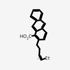 CC/C=C\CCc1ccc2cc3ccccc3cc2c1C(=O)O